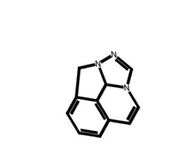 C1=CN2C=NN3Cc4cccc1c4C23